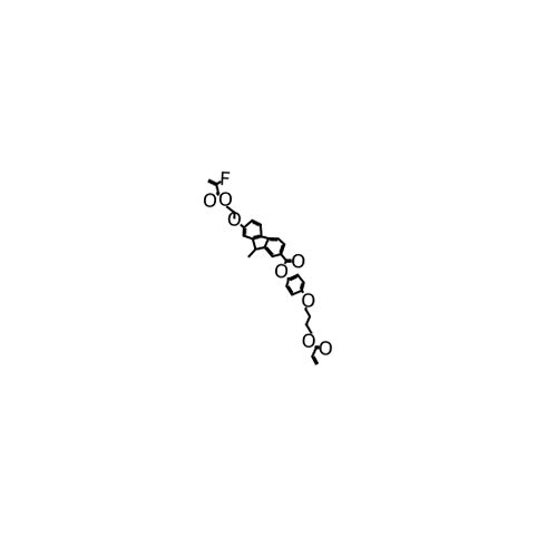 C=CC(=O)OCCCCOc1ccc(OC(=O)c2ccc3c(c2)C(C)c2cc(OCCOC(=O)C(=C)F)ccc2-3)cc1